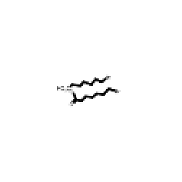 O=C(Cl)CCCCCCBr.O=C(O)CCCCCCBr